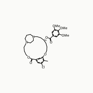 COc1cc(C(=O)O[C@@H]2CCCOc3cc(cc(Cl)c3C)C(=O)OCCCN3CCCN(CC2)CC3)cc(OC)c1OC